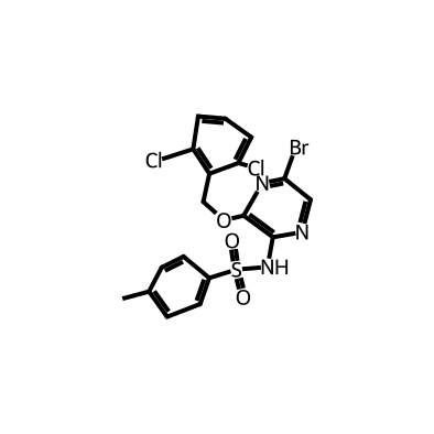 Cc1ccc(S(=O)(=O)Nc2ncc(Br)nc2OCc2c(Cl)cccc2Cl)cc1